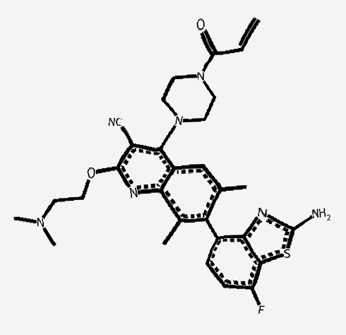 C=CC(=O)N1CCN(c2c(C#N)c(OCCN(C)C)nc3c(C)c(-c4ccc(F)c5sc(N)nc45)c(C)cc23)CC1